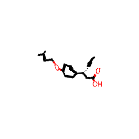 CC#C[C@H](CC(=O)O)c1ccc(OCC=C(C)C)cc1